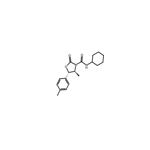 Cc1ccc([C@@H]2OC(=O)N(C(=O)NC3CCCCC3)[C@H]2C)cc1